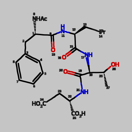 CC(=O)N[C@@H](Cc1ccccc1)C(=O)N[C@@H](CC(C)C)C(=O)N[C@H](C(=O)N[C@@H](CC(=O)O)C(=O)O)[C@@H](C)O